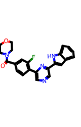 O=C(c1ccc(-c2cncc(-c3cc4ccccc4[nH]3)n2)c(F)c1)N1CCOCC1